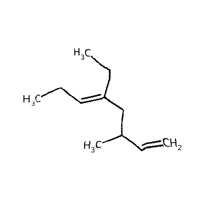 C=CC(C)CC(=CCC)CC